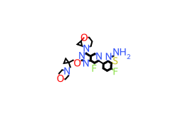 Nc1nc2c(-c3ncc4c(N5CCCOC6CC65)nc(OCC5(CN6CCOCC6)CC5)nc4c3F)ccc(F)c2s1